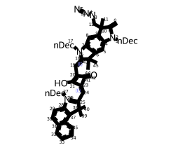 C=C1N(CCCCCCCCCC)c2cc3c(cc2C1(C)CN=[N+]=[N-])N(CCCCCCCCCC)/C(=C/C1=C(O)C(=C\C2=[N+](CCCCCCCCCC)c4ccc5ccccc5c4C2(C)C)/C1=O)C3(C)C